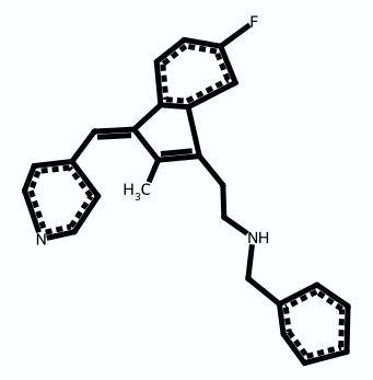 CC1=C(CCNCc2ccccc2)c2cc(F)ccc2/C1=C/c1ccncc1